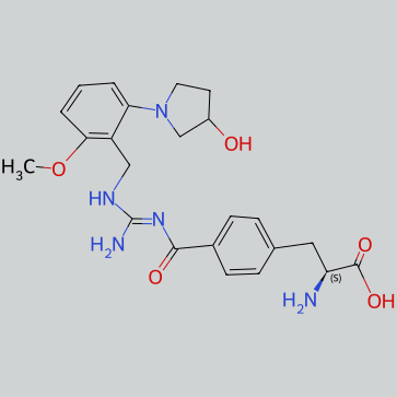 COc1cccc(N2CCC(O)C2)c1CNC(N)=NC(=O)c1ccc(C[C@H](N)C(=O)O)cc1